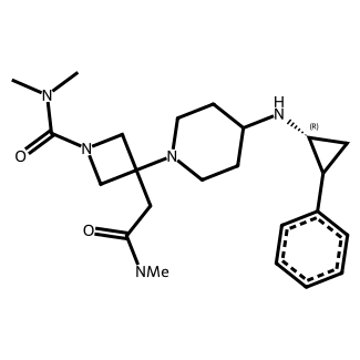 CNC(=O)CC1(N2CCC(N[C@@H]3CC3c3ccccc3)CC2)CN(C(=O)N(C)C)C1